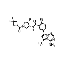 CCc1ccc(-c2cc(C(F)(F)F)c3c(N)ncnn23)cc1C(=O)N[C@@H]1CN(C(=O)C2CC(F)(F)C2)C[C@@H]1F